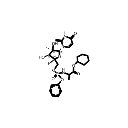 C=C1NC(=O)C=CN1[C@@H]1O[C@](F)(COP(=O)(NC(C)C(=O)OC2CCCCC2)Oc2ccccc2)[C@@H](O)[C@@]1(C)O